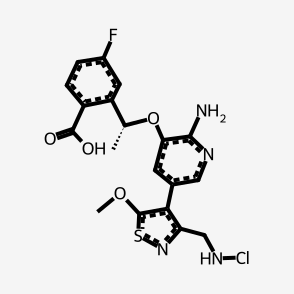 COc1snc(CNCl)c1-c1cnc(N)c(O[C@H](C)c2cc(F)ccc2C(=O)O)c1